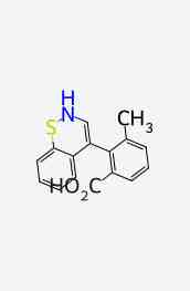 Cc1cccc(C(=O)O)c1C1=CNSc2ccccc21